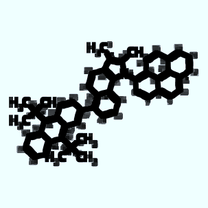 Cc1c(C)n(-c2ccc3ccc4cccc5ccc2c3c45)c2c1ccc1c(-c3ccc4c(C(C)(C)C)c5ccccc5c(C(C)(C)C)c4c3)cccc12